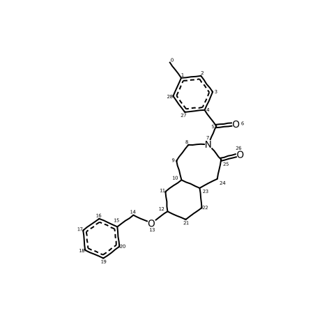 Cc1ccc(C(=O)N2CCC3CC(OCc4ccccc4)CCC3CC2=O)cc1